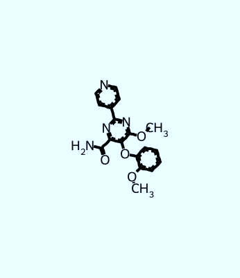 COc1ccccc1Oc1c(OC)nc(-c2ccncc2)nc1C(N)=O